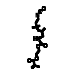 C=C(C)C(=O)OCCOC(=O)NCC(C)CC(C)(C)CCN=C=O